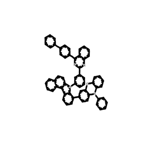 c1ccc(-c2ccc(-c3nc(-c4cccc(-n5c6ccc7ccccc7c6c6cccc(-c7ccc8c(c7)Oc7ccccc7N8c7ccccc7)c65)c4)nc4ccccc34)cc2)cc1